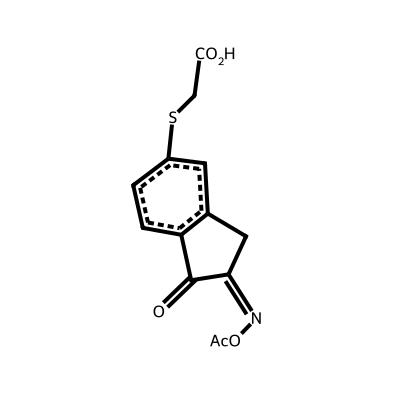 CC(=O)ON=C1Cc2cc(SCC(=O)O)ccc2C1=O